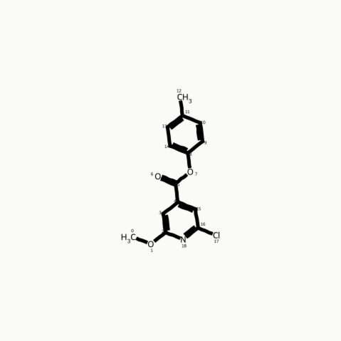 COc1cc(C(=O)Oc2ccc(C)cc2)cc(Cl)n1